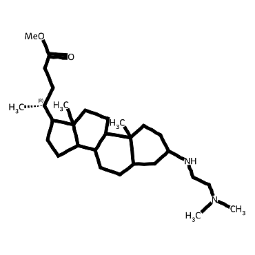 COC(=O)CC[C@@H](C)C1CCC2C3CCC4CC(NCCN(C)C)CCC4(C)C3CCC21C